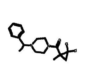 CC(c1ccccc1)N1CCN(C(=O)C2(C)CC2(Cl)Cl)CC1